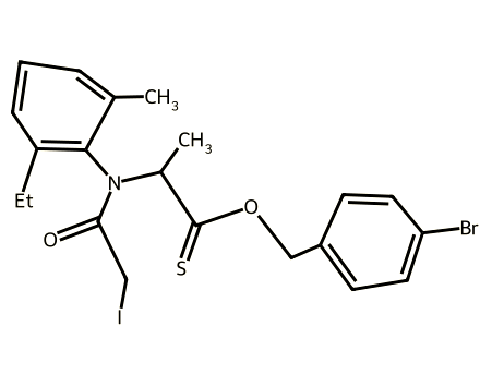 CCc1cccc(C)c1N(C(=O)CI)C(C)C(=S)OCc1ccc(Br)cc1